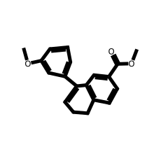 COC(=O)c1ccc2c(c1)C(c1cccc(OC)c1)=CCC2